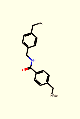 CNCc1ccc(C(=O)NCc2ccc(CC(C)=O)cc2)cc1